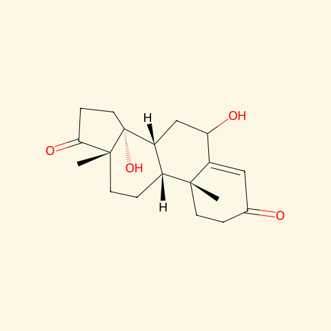 C[C@]12CCC(=O)C=C1C(O)C[C@@H]1[C@H]2CC[C@]2(C)C(=O)CC[C@@]12O